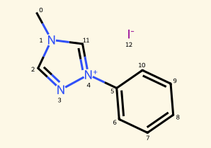 Cn1cn[n+](-c2ccccc2)c1.[I-]